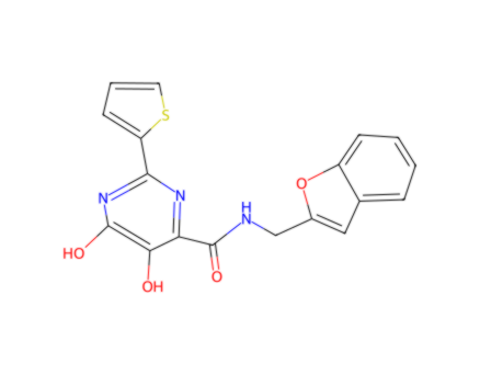 O=C(NCc1cc2ccccc2o1)c1nc(-c2cccs2)nc(O)c1O